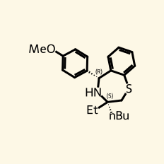 CCCC[C@@]1(CC)CSc2ccccc2[C@@H](c2ccc(OC)cc2)N1